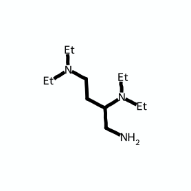 CCN(CC)CCC(CN)N(CC)CC